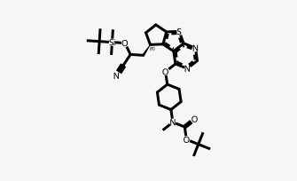 CN(C(=O)OC(C)(C)C)C1CCC(Oc2ncnc3sc4c(c23)[C@@H](CC(C#N)O[Si](C)(C)C(C)(C)C)CC4)CC1